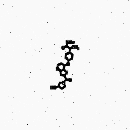 C=C(C(=O)NC)c1ccc(Oc2ccnc3cc(C(=O)N4CCC(O)C4)sc23)cc1